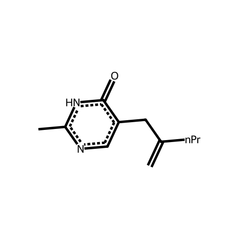 C=C(CCC)Cc1cnc(C)[nH]c1=O